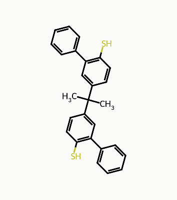 CC(C)(c1ccc(S)c(-c2ccccc2)c1)c1ccc(S)c(-c2ccccc2)c1